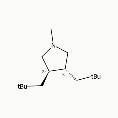 CN1C[C@H](CC(C)(C)C)[C@@H](CC(C)(C)C)C1